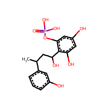 CC(CC(O)c1c(O)cc(O)cc1OP(=O)(O)O)c1cccc(O)c1